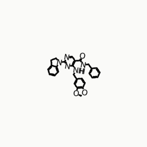 O=C(NCc1ccccc1)c1cnc(N2CCc3ccccc32)nc1NCc1ccc2c(c1)OCO2